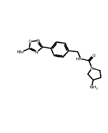 CC(C)(C)c1nc(-c2ccc(CNC(=O)N3CCC(N)C3)cc2)no1